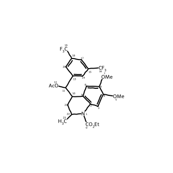 CCOC(=O)N1c2cc(OC)c(OC)cc2C(C(OC(C)=O)c2cc(C(F)(F)F)cc(C(F)(F)F)c2)CC1C